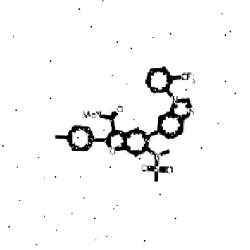 CNC(=O)c1c(-c2ccc(C)cc2)oc2cc(N(C)S(C)(=O)=O)c(-c3ccc4ncn(-c5ccccc5C(F)(F)F)c4c3)cc12